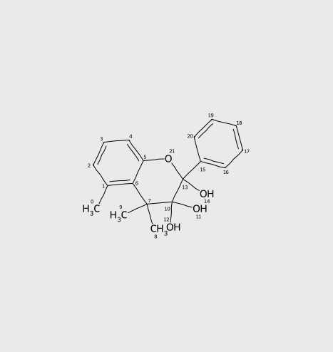 Cc1cccc2c1C(C)(C)C(O)(O)C(O)(c1ccccc1)O2